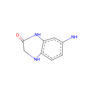 [NH]c1ccc2c(c1)NC(=O)CN2